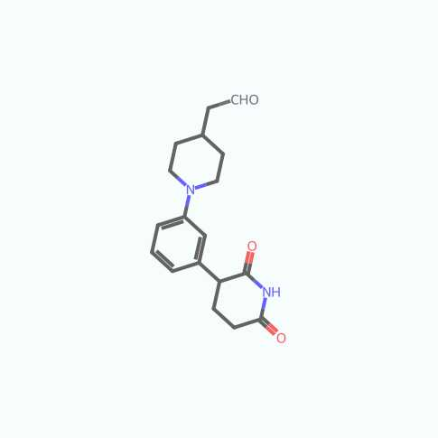 O=CCC1CCN(c2cccc(C3CCC(=O)NC3=O)c2)CC1